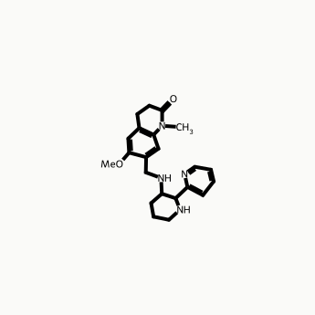 COc1cc2c(cc1CNC1CCCNC1c1ccccn1)N(C)C(=O)CC2